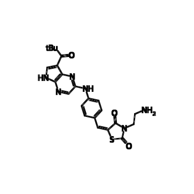 CC(C)(C)C(=O)c1c[nH]c2ncc(Nc3ccc(/C=C4/SC(=O)N(CCN)C4=O)cc3)nc12